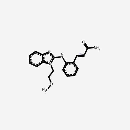 COCCn1c(Nc2ccccc2/C=C/C(N)=O)nc2ccccc21